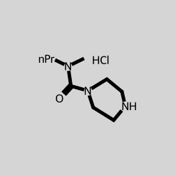 CCCN(C)C(=O)N1CCNCC1.Cl